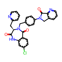 O=C1Nc2cc(Cl)ccc2C(=O)N(Cc2ccc(N3Cc4cccnc4C3=O)cc2)[C@@H]1Cc1ccccn1